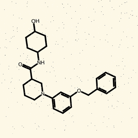 O=C(NC1CCC(O)CC1)C1CCCN(c2cccc(OCc3ccccc3)c2)C1